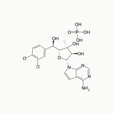 C[C@@]1(O)[C@@H]([C@H](O)c2ccc(Cl)c(Cl)c2)O[C@@H](n2ccc3c(N)ncnc32)[C@@H]1O.O=P(O)(O)O